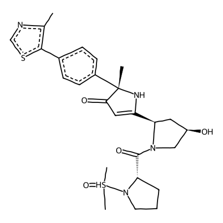 Cc1ncsc1-c1ccc([C@]2(C)NC([C@H]3C[C@@H](O)CN3C(=O)[C@@H]3CCCN3[SH](C)(C)=O)=CC2=O)cc1